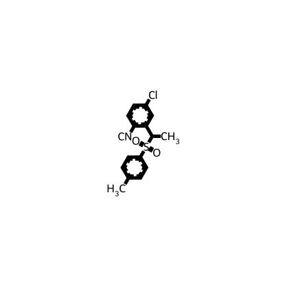 [C-]#[N+]c1ccc(Cl)cc1C(C)S(=O)(=O)c1ccc(C)cc1